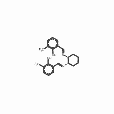 Oc1c(C=N[C@H]2CCCC[C@@H]2N=Cc2cccc(C(F)(F)F)c2O)cccc1C(F)(F)F